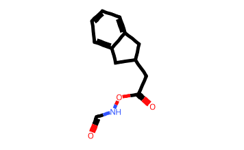 O=CNOC(=O)CC1Cc2ccccc2C1